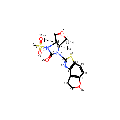 C[C@H]1OC[C@H]2[C@@H]1N(c1nc3c4c(ccc3s1)OCC4)C(=O)N2S(C)(=O)=O